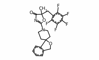 CC1(Cc2c(F)c(F)c(F)c(F)c2F)OC(N2CCC3(CC2)OCc2ccccc23)=NC1=O